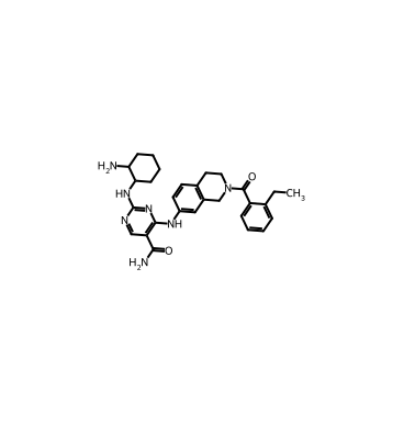 CCc1ccccc1C(=O)N1CCc2ccc(Nc3nc(NC4CCCCC4N)ncc3C(N)=O)cc2C1